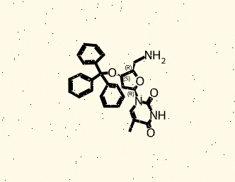 Cc1cn([C@H]2C[C@H](OC(c3ccccc3)(c3ccccc3)c3ccccc3)[C@@H](CN)O2)c(=O)[nH]c1=O